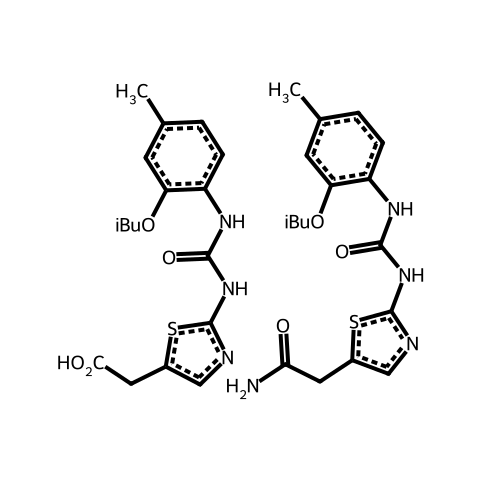 Cc1ccc(NC(=O)Nc2ncc(CC(=O)O)s2)c(OCC(C)C)c1.Cc1ccc(NC(=O)Nc2ncc(CC(N)=O)s2)c(OCC(C)C)c1